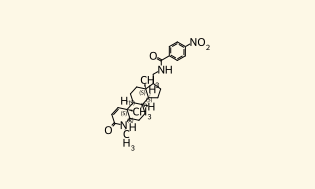 CN1C(=O)C=C[C@]2(C)[C@H]3CC[C@]4(C)C(CNC(=O)c5ccc([N+](=O)[O-])cc5)CC[C@H]4[C@@H]3CC[C@@H]12